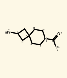 CCCC1CC2(CCN(C(=O)C(C)C)CC2)C1